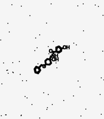 O=C(NC[C@]1(O)CC[C@H](OCc2ccccc2)CC1)c1ccc(O)cc1